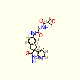 O=C(CNC(=O)C1COC1)Nc1ccc2c(c1)CC1(C2)C(=O)Nc2ncccc21